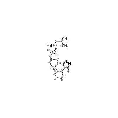 CC(C)CN1C[N+]([O-])(Cc2ccc(-c3ccccc3-c3nnn[nH]3)cc2)CN1